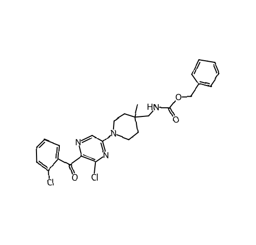 CC1(CNC(=O)OCc2ccccc2)CCN(c2cnc(C(=O)c3ccccc3Cl)c(Cl)n2)CC1